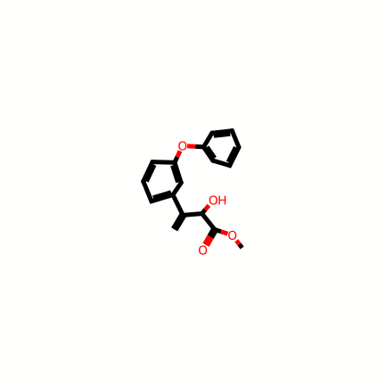 C=C(c1cccc(Oc2ccccc2)c1)C(O)C(=O)OC